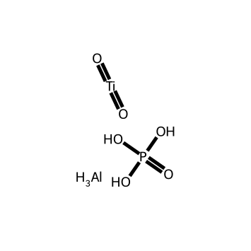 O=P(O)(O)O.[AlH3].[O]=[Ti]=[O]